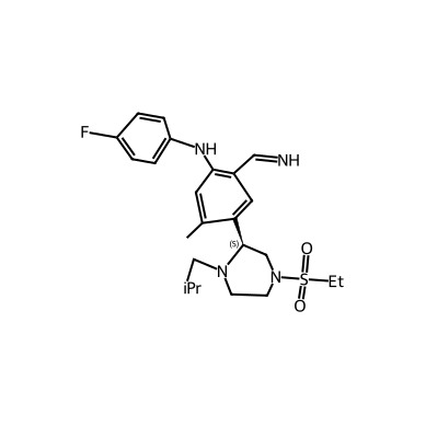 CCS(=O)(=O)N1CCN(CC(C)C)[C@@H](c2cc(C=N)c(Nc3ccc(F)cc3)cc2C)C1